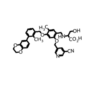 Cc1cc(CNC(CO)C(=O)O)c(OCc2cncc(C#N)c2)cc1OCc1cccc(-c2ccc3c(c2)OCCO3)c1C